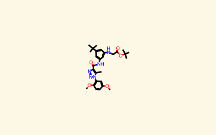 COc1ccc(OC)c(-n2nnc(C(=O)Nc3cc(NCC(=O)OC(C)(C)C)cc(C(C)(C)C)c3)c2C)c1